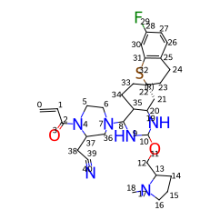 C=CC(=O)N1CCN(C2NC(OCC3CCCN3C)NC3C[C@]4(CCc5ccc(F)cc5S4)CCC32)CC1CC#N